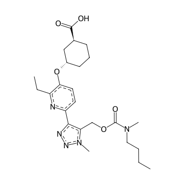 CCCCN(C)C(=O)OCc1c(-c2ccc(O[C@H]3CCC[C@H](C(=O)O)C3)c(CC)n2)nnn1C